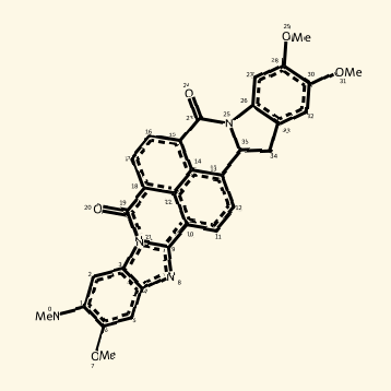 CNc1cc2c(cc1OC)nc1c3ccc4c5c(ccc(c(=O)n21)c53)C(=O)N1c2cc(OC)c(OC)cc2CC41